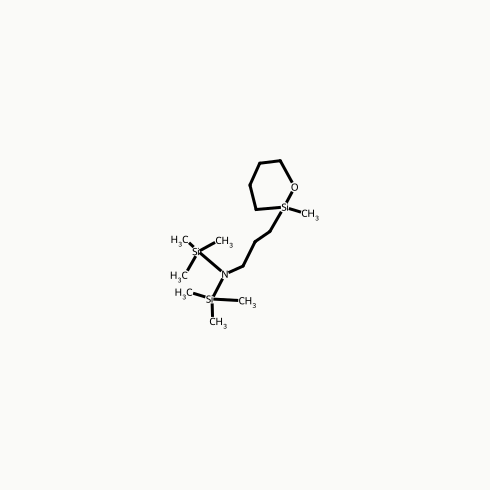 C[Si]1(CCCN([Si](C)(C)C)[Si](C)(C)C)CCCCO1